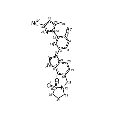 CC(=O)c1ccc(-n2cnc3cc(CN4CCCS4(=O)=O)ccc32)nc1-n1nc(C#N)cc1C